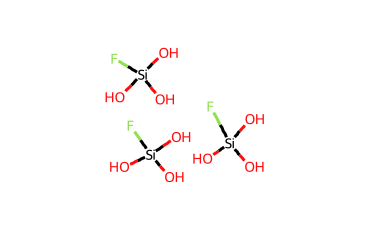 O[Si](O)(O)F.O[Si](O)(O)F.O[Si](O)(O)F